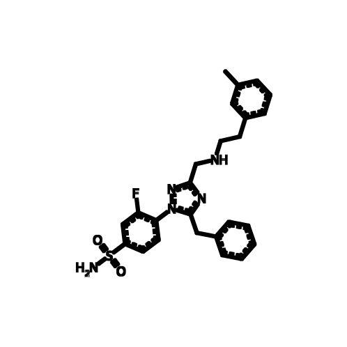 Cc1cccc(CCNCc2nc(Cc3ccccc3)n(-c3ccc(S(N)(=O)=O)cc3F)n2)c1